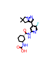 CC1(C)Cc2c(-c3cc(NC(=O)[C@H]4CCC[C@H](NC(=O)O)C4)ncc3F)cnn2C1